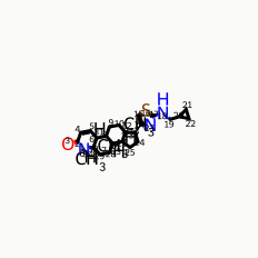 CN1C(=O)C=C[C@]2(C)[C@H]3CC[C@]4(C)[C@@H](c5csc(NCC6CC6)n5)CC[C@H]4[C@@H]3CC[C@@H]12